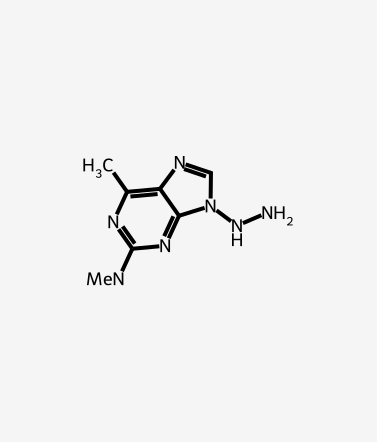 CNc1nc(C)c2ncn(NN)c2n1